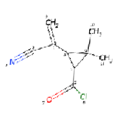 C=C(C#N)C1C(C(=O)Cl)C1(C)C